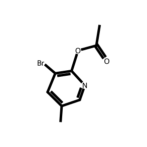 CC(=O)Oc1ncc(C)cc1Br